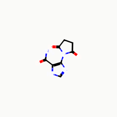 NC(=O)c1[nH]cnc1N1C(=O)CCC1=O